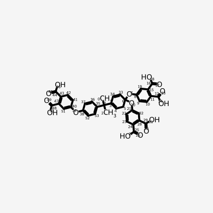 CC(C)(C1=CCC(Oc2ccc(C(=O)O)c(C(=O)O)c2)(Oc2ccc(C(=O)O)c(C(=O)O)c2)C=C1)c1ccc(Oc2ccc(C(=O)O)c(C(=O)O)c2)cc1